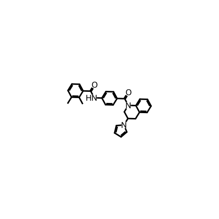 Cc1cccc(C(=O)Nc2ccc(C(=O)N3CC(n4cccc4)Cc4ccccc43)cc2)c1C